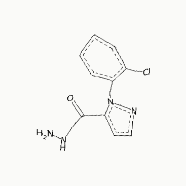 NNC(=O)c1ccnn1-c1ccccc1Cl